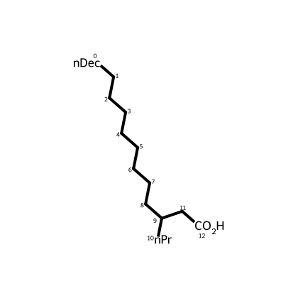 CCCCCCCCCCCCCCCCCCC(CCC)CC(=O)O